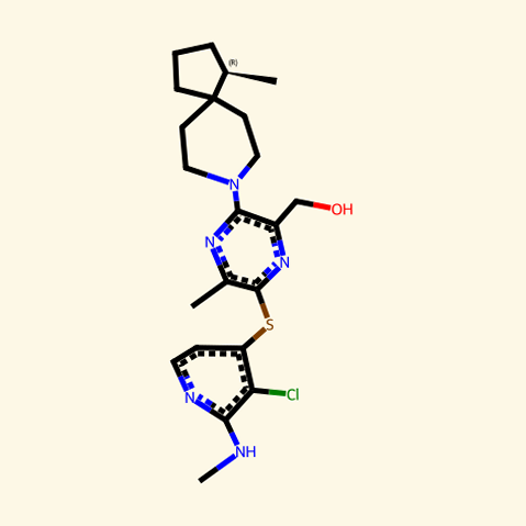 CNc1nccc(Sc2nc(CO)c(N3CCC4(CCC[C@H]4C)CC3)nc2C)c1Cl